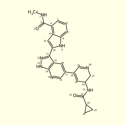 CNC(=O)c1cccc2[nH]c(-c3n[nH]c4ncc(C5=CC(NC(=O)C6CC6)CN=C5)cc34)cc12